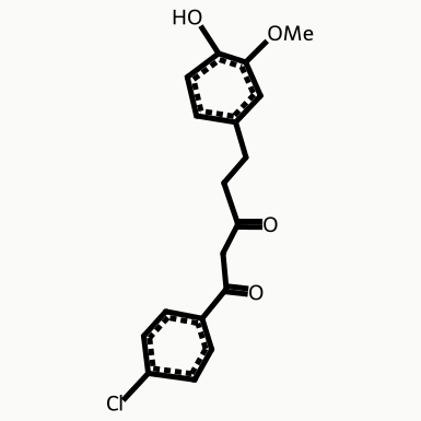 COc1cc(CCC(=O)CC(=O)c2ccc(Cl)cc2)ccc1O